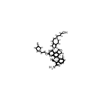 N#Cc1c(N)sc2ccc(F)c(-c3c4c(c5c(N6CC7CCN(CCCO)CCC7C6)nc(OCCN6CC[C@H](F)C6)nc5c3F)COC4)c12